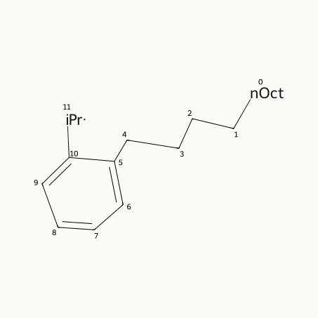 CCCCCCCCCCCCc1ccccc1[C](C)C